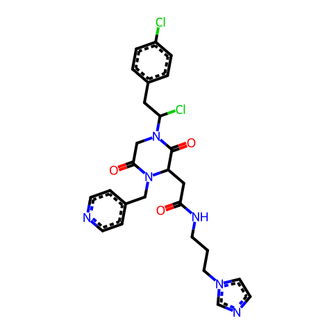 O=C(CC1C(=O)N(C(Cl)Cc2ccc(Cl)cc2)CC(=O)N1Cc1ccncc1)NCCCn1ccnc1